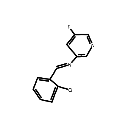 Fc1cncc(N=Cc2ccccc2Cl)c1